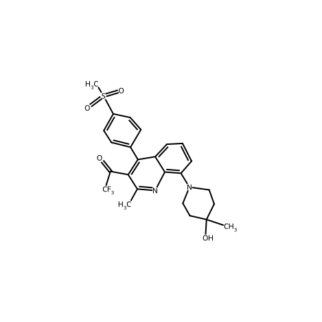 Cc1nc2c(N3CCC(C)(O)CC3)cccc2c(-c2ccc(S(C)(=O)=O)cc2)c1C(=O)C(F)(F)F